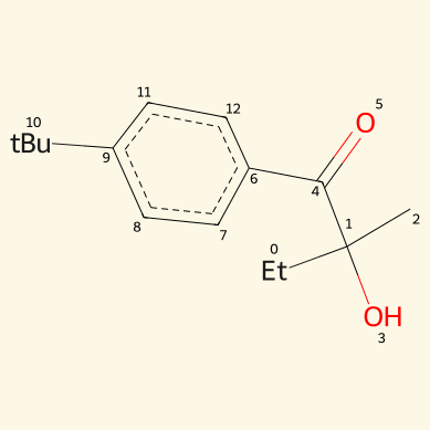 CCC(C)(O)C(=O)c1ccc(C(C)(C)C)cc1